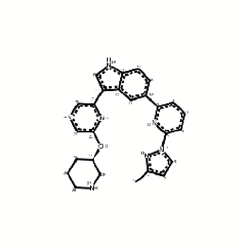 Cc1ccn(-c2cccc(-c3ccc4[nH]cc(-c5cncc(O[C@@H]6CCCNC6)n5)c4c3)n2)n1